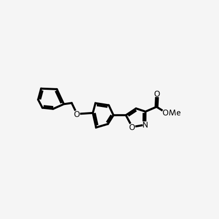 COC(=O)c1cc(-c2ccc(OCc3ccccc3)cc2)on1